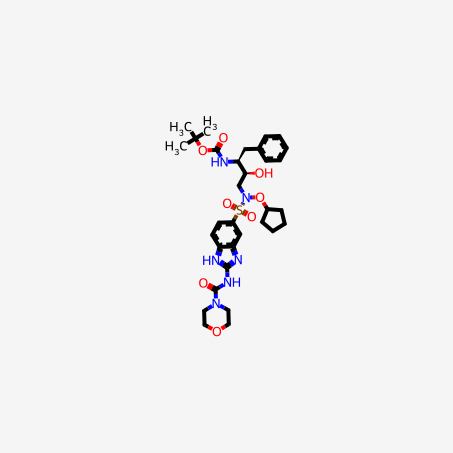 CC(C)(C)OC(=O)N[C@@H](Cc1ccccc1)[C@@H](O)CN(OC1CCCC1)S(=O)(=O)c1ccc2[nH]c(NC(=O)N3CCOCC3)nc2c1